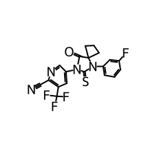 N#Cc1ncc(N2C(=O)C3(CCC3)N(c3cccc(F)c3)C2=S)cc1C(F)(F)F